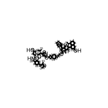 CCc1cccc2cc(O)cc(-c3ncc4c(N5CC6CCC(C5)N6)nc(OCCN5CCC6(CC5)CC(Oc5cc([C@H](C(=O)N7C[C@H](O)C[C@H]7C(=O)N[C@@H](C)c7ccc(-c8scnc8C)cc7)C(C)C)on5)C6)nc4c3F)c12